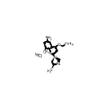 CCOc1cc(-n2cnc(C)c2)nc2c(C)cc(N)cc12.Cl